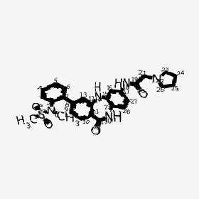 CN(c1ccccc1-c1ccc2c(c1)Nc1cc(NC(=O)CN3CCCC3)ccc1NC2=O)S(C)(=O)=O